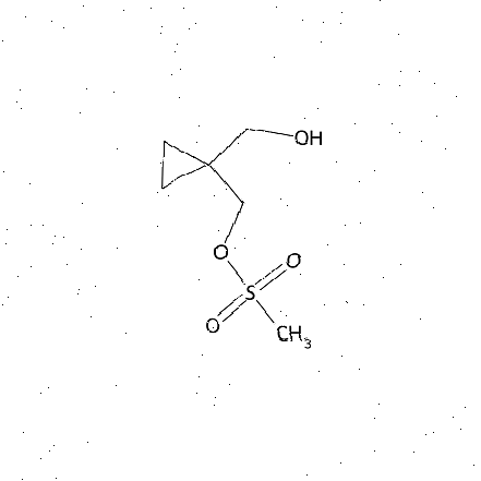 CS(=O)(=O)OCC1(CO)CC1